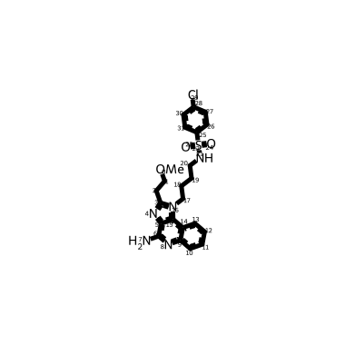 COCCc1nc2c(N)nc3ccccc3c2n1CCCCNS(=O)(=O)c1ccc(Cl)cc1